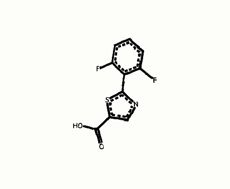 O=C(O)c1cnc(-c2c(F)cccc2F)s1